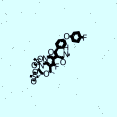 CNC(=O)c1c(-c2ccc(Oc3ccc(F)cc3)cc2)oc2nc3c(c(F)c12)[C@H](C)O[C@H](CS(C)(=O)=O)CN3S(C)(=O)=O